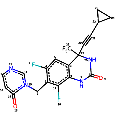 O=C1Nc2c(cc(F)c(Cn3cnccc3=O)c2F)C(C#CC2CC2)(C(F)(F)F)N1